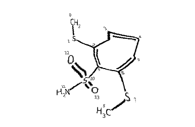 CSc1cccc(SC)c1S(N)(=O)=O